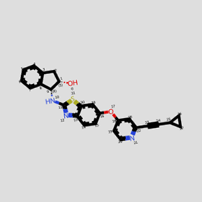 O[C@H]1Cc2ccccc2[C@H]1Nc1nc2ccc(Oc3ccnc(C#CC4CC4)c3)cc2s1